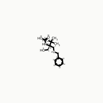 CC(C)(C)[C@](CO)(COCc1ccccc1)NC(=O)O